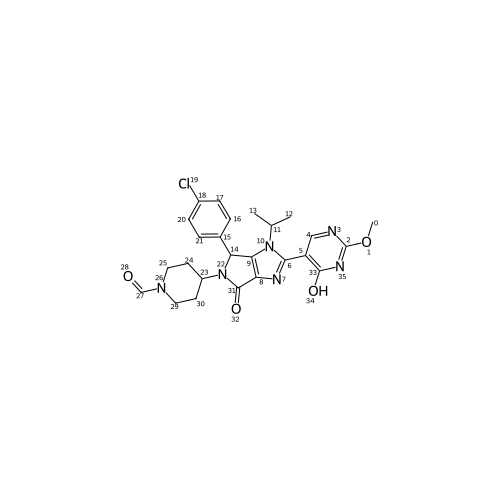 COc1ncc(-c2nc3c(n2C(C)C)C(c2ccc(Cl)cc2)N(C2CCN(C=O)CC2)C3=O)c(O)n1